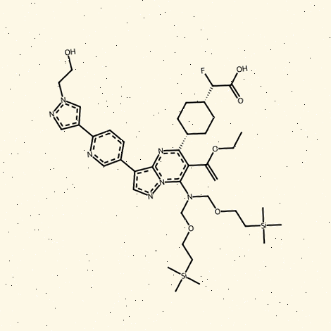 C=C(OCC)c1c(N(COCC[Si](C)(C)C)COCC[Si](C)(C)C)n2ncc(-c3ccc(-c4cnn(CCO)c4)nc3)c2nc1[C@H]1CC[C@@H](C(F)C(=O)O)CC1